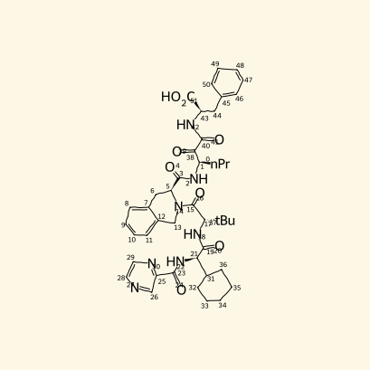 CCC[C@@H](NC(=O)[C@@H]1Cc2ccccc2CN1C(=O)[C@@H](NC(=O)[C@H](NC(=O)c1cnccn1)C1CCCCC1)C(C)(C)C)C(=O)C(=O)N[C@H](Cc1ccccc1)C(=O)O